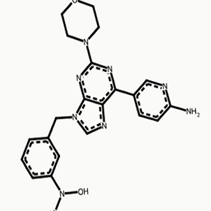 Nc1ccc(-c2nc(N3CCOCC3)nc3c2ncn3Cc2cccc(N(O)O)c2)cn1